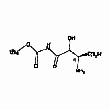 CC(C)(C)OC(=O)NC(=O)C(O)[C@H](N)C(=O)O